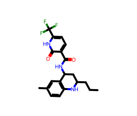 CCCC1CC(NC(=O)c2ccc(C(F)(F)F)[nH]c2=O)c2cc(C)ccc2N1